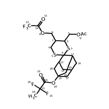 CC(=O)OCC1SC2(SCC1COC(=O)C(F)(F)F)C1CC3CC2CC(OC(=O)C(C)(F)F)(C3)C1